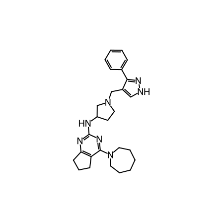 c1ccc(-c2n[nH]cc2CN2CCC(Nc3nc4c(c(N5CCCCCC5)n3)CCC4)C2)cc1